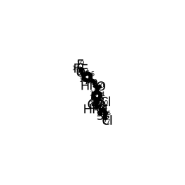 O=C(NCc1ccc(OC(F)(F)F)cc1)c1ccc(S(=O)(=O)Nc2ncc(Cl)s2)c(Cl)c1